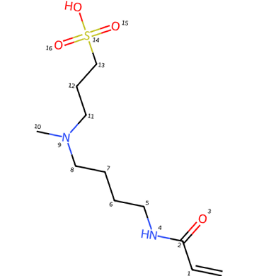 C=CC(=O)NCCCCN(C)CCCS(=O)(=O)O